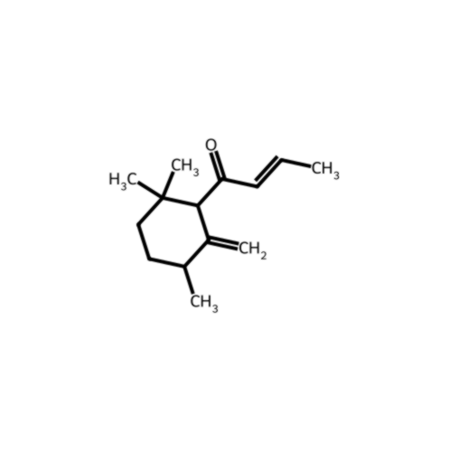 C=C1C(C)CCC(C)(C)C1C(=O)C=CC